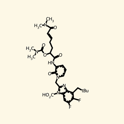 CN(C)C(=O)C=CCCC(OC(=O)N(C)C)C(=O)Nc1cccn(Cc2nc3c(CC(C)(C)C)c(F)c(F)cc3n2C(=O)O)c1=O